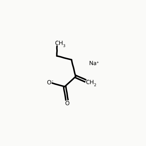 C=C(CCC)C(=O)[O-].[Na+]